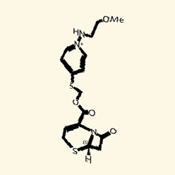 COCCN[n+]1ccc(SCOC(=O)C2=CCS[C@H]3CC(=O)N23)cc1